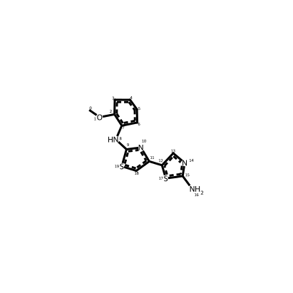 COc1ccccc1Nc1nc(-c2cnc(N)s2)cs1